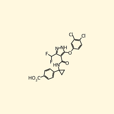 O=C(O)c1ccc(C2(NC(=O)c3c(C(F)F)n[nH]c3Oc3ccc(Cl)c(Cl)c3)CC2)cc1